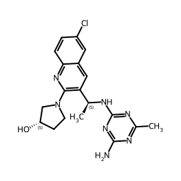 Cc1nc(N)nc(N[C@@H](C)c2cc3cc(Cl)ccc3nc2N2CC[C@H](O)C2)n1